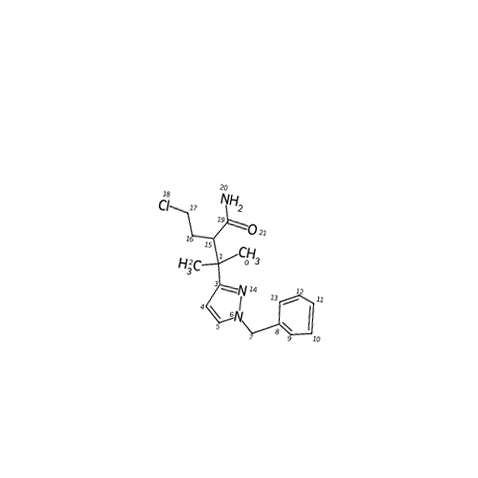 CC(C)(c1ccn(Cc2ccccc2)n1)C(CCCl)C(N)=O